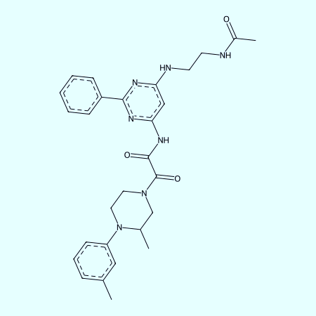 CC(=O)NCCNc1cc(NC(=O)C(=O)N2CCN(c3cccc(C)c3)C(C)C2)nc(-c2ccccc2)n1